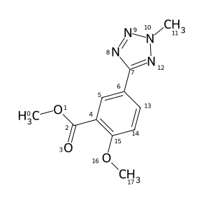 COC(=O)c1cc(-c2nnn(C)n2)ccc1OC